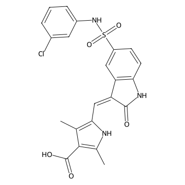 Cc1[nH]c(C=C2C(=O)Nc3ccc(S(=O)(=O)Nc4cccc(Cl)c4)cc32)c(C)c1C(=O)O